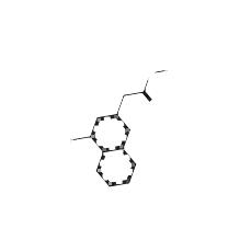 COC(=O)Cc1cc(Cl)c2ccccc2c1